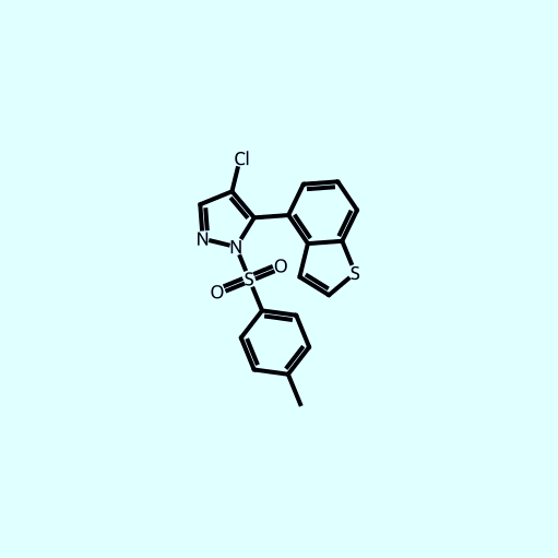 Cc1ccc(S(=O)(=O)n2ncc(Cl)c2-c2cccc3sccc23)cc1